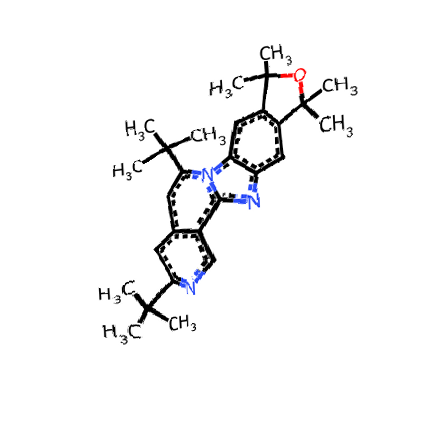 CC(C)(C)c1cc2cc(C(C)(C)C)n3c4cc5c(cc4nc3c2cn1)C(C)(C)OC5(C)C